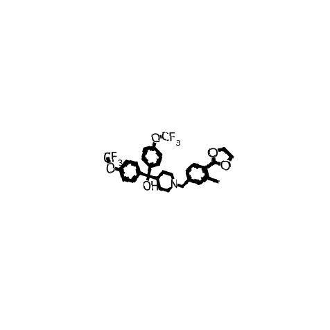 Cc1cc(CN2CCC(C(O)(c3ccc(OC(F)(F)F)cc3)c3ccc(OC(F)(F)F)cc3)CC2)ccc1C1OCCO1